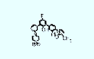 Cn1ccn(-c2ccc(-c3cc(F)cc(-c4ccnc(N5CCS(=O)(=O)CC5)c4)c3O)cc2Cl)c1=O